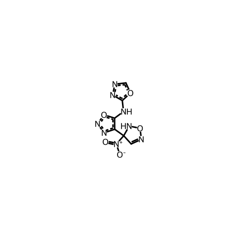 O=[N+]([O-])C1(c2nnoc2Nc2nnco2)C=NON1